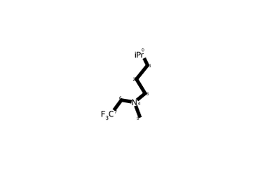 CC(C)CCCN(C)CC(F)(F)F